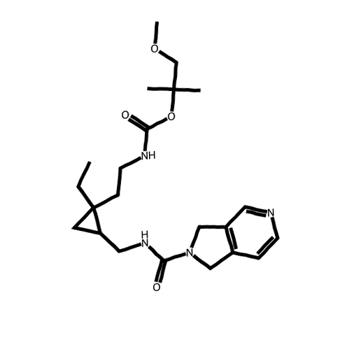 CCC1(CCNC(=O)OC(C)(C)COC)CC1CNC(=O)N1Cc2ccncc2C1